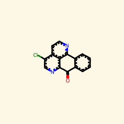 O=C1c2ccccc2-c2nccc3c(Cl)cnc1c23